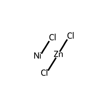 [Cl][Ni].[Cl][Zn][Cl]